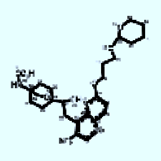 N#Cc1cnc2ccc(OCCCOC3CCCCO3)nc2c1CC(O)C12CCC(NC(=O)O)(CC1)CO2